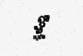 NC(=O)[C@H]1CN(c2ccc3c(c2)OCCc2cnoc2-3)C(=O)O1